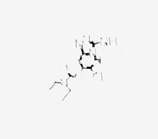 CCN(CC)C(=O)Oc1cc2nnc(N)n2nc1Cl